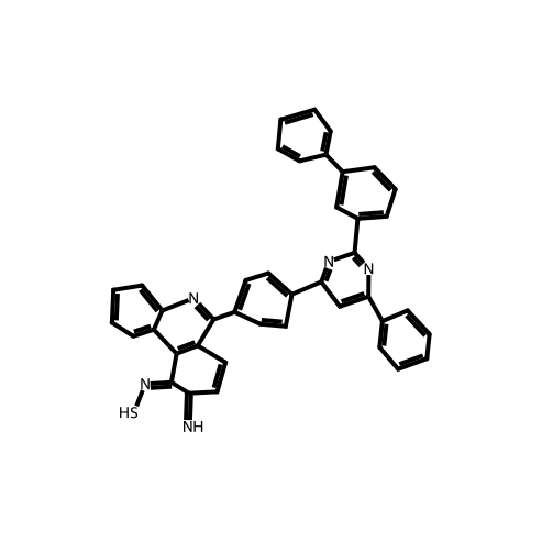 N=C1C=Cc2c(-c3ccc(-c4cc(-c5ccccc5)nc(-c5cccc(-c6ccccc6)c5)n4)cc3)nc3ccccc3c2/C1=N/S